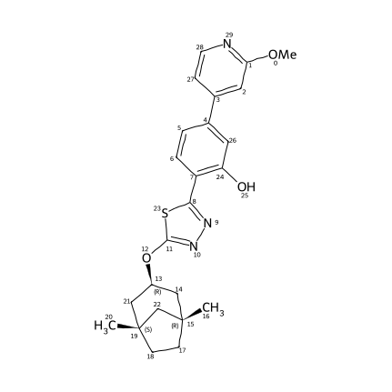 COc1cc(-c2ccc(-c3nnc(O[C@H]4C[C@]5(C)CC[C@](C)(C4)C5)s3)c(O)c2)ccn1